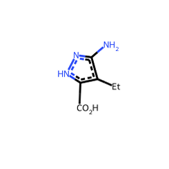 CCc1c(N)n[nH]c1C(=O)O